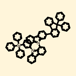 c1ccc(C2(c3ccccc3)c3ccccc3-c3c(-c4ccc5c6ccccc6n(-c6cccc7c8ccccc8n(-c8cccc([Si](c9ccccc9)(c9ccccc9)c9ccccc9)c8)c67)c5c4)cccc32)cc1